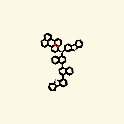 c1ccc(-c2cccc3cccc(-c4ccc(N(c5ccc6c(c5)oc5ccccc56)c5ccc(-c6ccc(-c7cccc8c7oc7ccccc78)c7ccccc67)c6ccccc56)cc4)c23)cc1